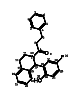 O=C(CCc1ccccc1)N1CCc2ccccc2C1c1cc(F)ccc1O